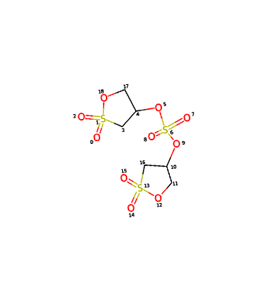 O=S1(=O)CC(OS(=O)(=O)OC2COS(=O)(=O)C2)CO1